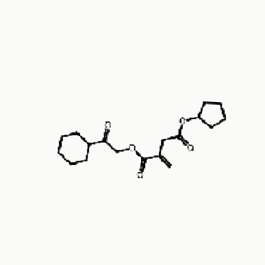 C=C(CC(=O)OC1CCCC1)C(=O)OCC(=O)C1CCCCC1